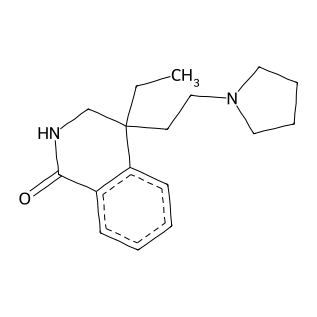 CCC1(CCN2CCCC2)CNC(=O)c2ccccc21